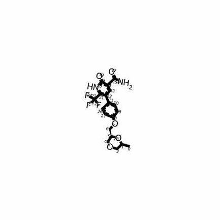 CC1COC[C@@H](COc2ccc(-c3cc(C(N)=O)c(=O)[nH]c3C(F)(F)F)cc2)O1